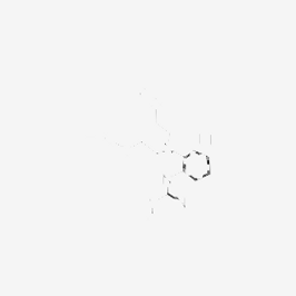 COCCN(CCOC)c1ccccc1NC(=N)SC.I